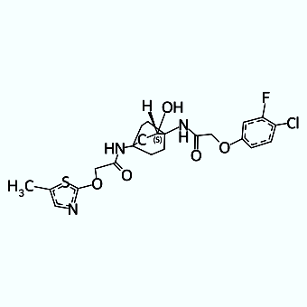 Cc1cnc(OCC(=O)NC23CCC(NC(=O)COc4ccc(Cl)c(F)c4)(CC2)[C@@H](O)C3)s1